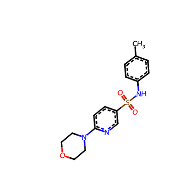 Cc1ccc(NS(=O)(=O)c2ccc(N3CCOCC3)nc2)cc1